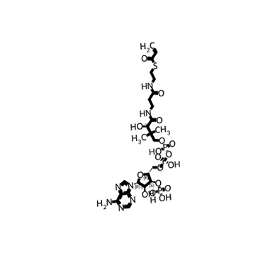 C=CC(=O)SCCNC(=O)CCNC(=O)[C@H](O)C(C)(C)COP(=O)(O)OP(=O)(O)OC[C@H]1O[C@@H](n2cnc3c(N)ncnc32)[C@H](O)[C@@H]1OP(=O)(O)O